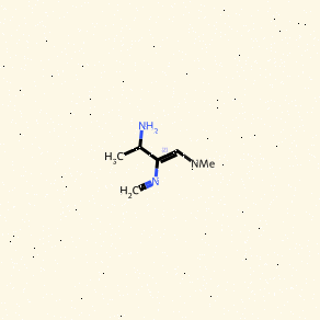 C=N/C(=C\NC)C(C)N